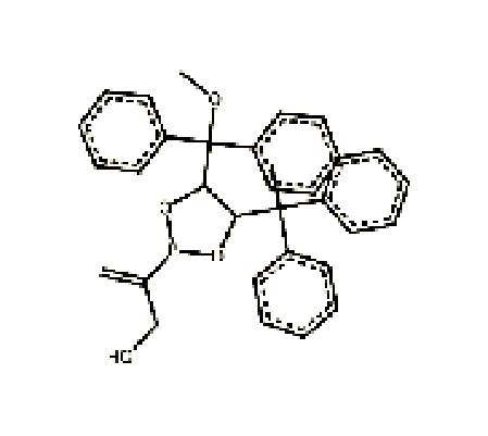 C=C(CO)B1OC(C(C)(c2ccccc2)c2ccccc2)C(C(OC)(c2ccccc2)c2ccccc2)O1